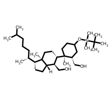 CC(C)CCC[C@@H](C)[C@H]1CC[C@H]2[C@H](CO)[C@@H]([C@@]3(C)CCC(O[Si](C)(C)C(C)(C)C)C[C@@H]3CO)CC[C@]12C